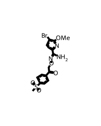 COc1nc(/C(N)=N/OCC(=O)c2ccc(S(C)(=O)=O)cc2)ccc1Br